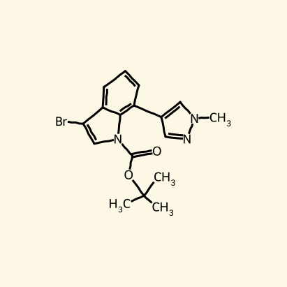 Cn1cc(-c2cccc3c(Br)cn(C(=O)OC(C)(C)C)c23)cn1